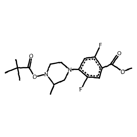 COC(=O)c1cc(F)c(N2CCN(OC(=O)C(C)(C)C)C(C)C2)cc1F